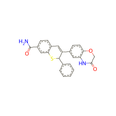 NC(=O)c1ccc2c(c1)SC(c1ccccc1)C(c1ccc3c(c1)NC(=O)CO3)=C2